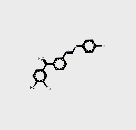 C=C(c1cccc(/C=C/Oc2ccc(C#N)cc2)c1)c1ccc(C#N)c(C(F)(F)F)c1